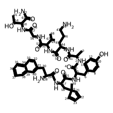 CC(NC(=O)C(Cc1ccc(O)cc1)NC(=O)C(CC1(C)C=CC=C1)NC(=O)C(N)Cc1ccc2ccccc2c1)C(=O)NC(CCCN)C(=O)NC(C(=O)NCC(=O)NC(C(N)=O)C(C)O)C(C)C